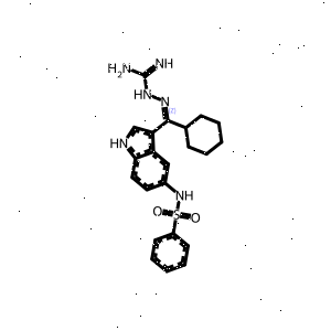 N=C(N)N/N=C(\c1c[nH]c2ccc(NS(=O)(=O)c3ccccc3)cc12)C1CCCCC1